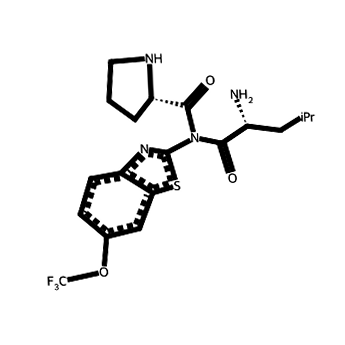 CC(C)C[C@@H](N)C(=O)N(C(=O)[C@@H]1CCCN1)c1nc2ccc(OC(F)(F)F)cc2s1